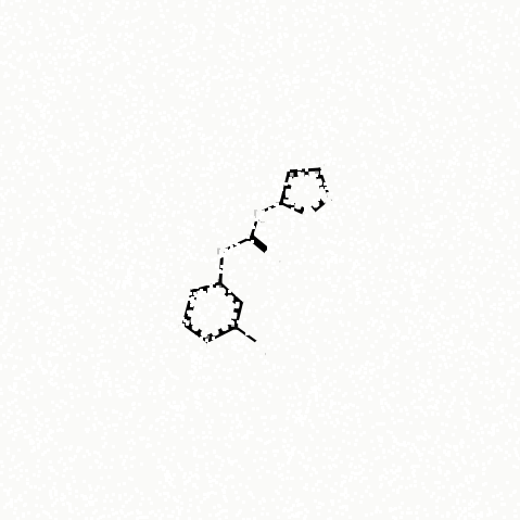 O=C(Nc1cccc(Cl)c1)Nc1ccno1